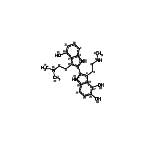 CNCCc1c(-c2[nH]c3cccc(O)c3c2CCN(C)C)[nH]c2ccc(O)c(O)c12